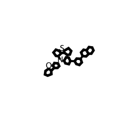 c1cc(-c2ccc(N(c3ccc4c(c3)oc3ccccc34)c3cccc4sc5ccccc5c34)cc2)cc(-c2ccc3ccccc3c2)c1